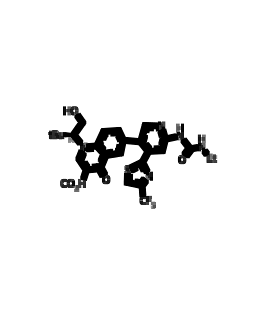 CCNC(=O)Nc1cc(-c2nc(C(F)(F)F)cs2)c(-c2ccc3c(c2)c(=O)c(C(=O)O)cn3[C@H](CO)C(C)(C)C)cn1